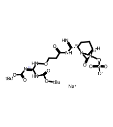 CC(C)(C)OC(=O)/N=C(/NOCCC(=O)NC(=N)[C@@H]1CC[C@@H]2CN1C(=O)N2OS(=O)(=O)[O-])NC(=O)OC(C)(C)C.[Na+]